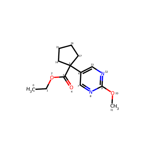 CCOC(=O)C1(c2cnc(OC)nc2)CCCC1